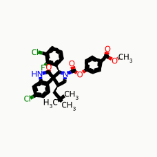 COC(=O)c1ccc(OC(=O)N2C[C@@H](CC(C)(C)C)C3(C(=O)Nc4cc(Cl)ccc43)[C@H]2c2cccc(Cl)c2F)cc1